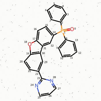 O=P(c1ccccc1)(c1ccccc1)c1ccc2oc3ccc(-c4ncccn4)cc3c2c1